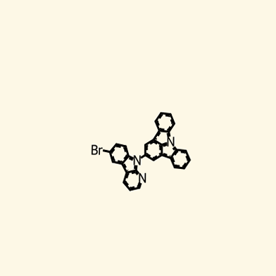 Brc1ccc2c(c1)c1cccnc1n2-c1cc2c3ccccc3n3c4ccccc4c(c1)c23